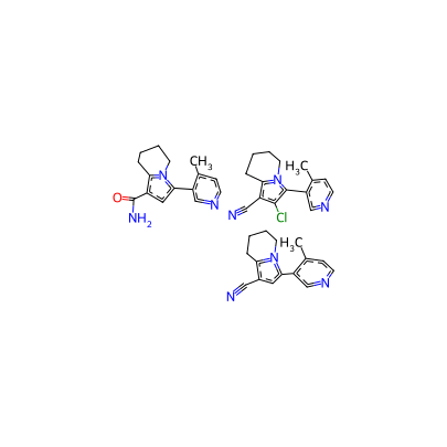 Cc1ccncc1-c1c(Cl)c(C#N)c2n1CCCC2.Cc1ccncc1-c1cc(C#N)c2n1CCCC2.Cc1ccncc1-c1cc(C(N)=O)c2n1CCCC2